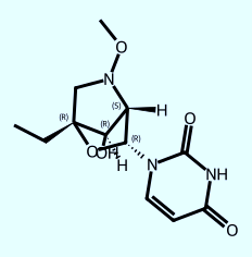 CC[C@]12CN(OC)[C@H]([C@H](n3ccc(=O)[nH]c3=O)O1)[C@H]2O